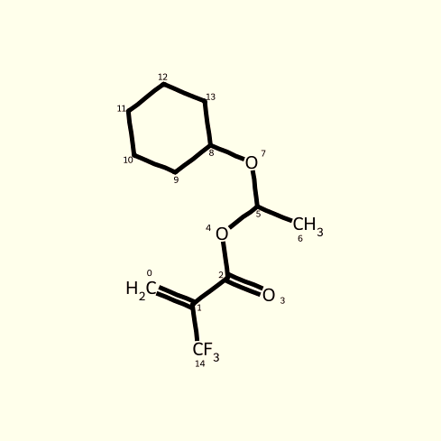 C=C(C(=O)OC(C)OC1CCCCC1)C(F)(F)F